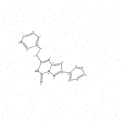 O=c1[nH]c(SCc2cccnc2)nc2cc(-c3ccccc3)nn12